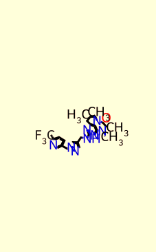 C[C@H]1C(=O)N2CC(C)(C)Cc3nc(NCc4cnn(Cc5ccc(C(F)(F)F)nc5)c4)nc(c32)N1C